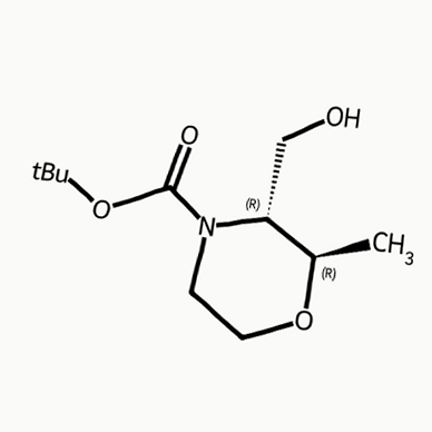 C[C@H]1OCCN(C(=O)OC(C)(C)C)[C@@H]1CO